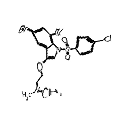 CN(C)CCOc1cn(S(=O)(=O)c2ccc(Cl)cc2)c2c(Br)cc(Br)cc12